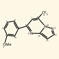 COc1cccc(-c2cc(C(F)(F)F)n3nccc3n2)c1